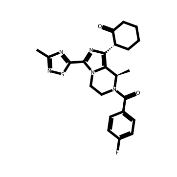 Cc1nsc(-c2nc([C@H]3CCCCC3=O)c3n2CCN(C(=O)c2ccc(F)cc2)[C@@H]3C)n1